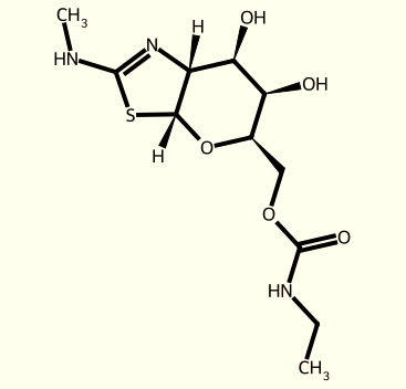 CCNC(=O)OC[C@H]1O[C@@H]2SC(NC)=N[C@@H]2[C@@H](O)[C@H]1O